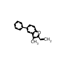 C=Cc1oc2ccc(-c3ccccc3)cc2c1C